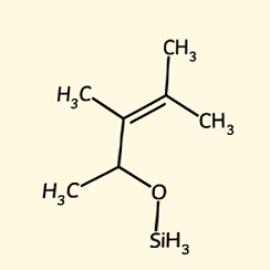 CC(C)=C(C)C(C)O[SiH3]